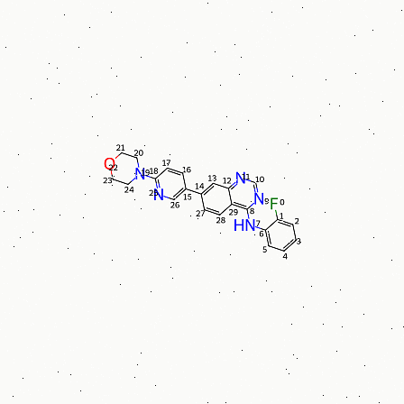 Fc1ccccc1Nc1ncnc2cc(-c3ccc(N4CCOCC4)nc3)ccc12